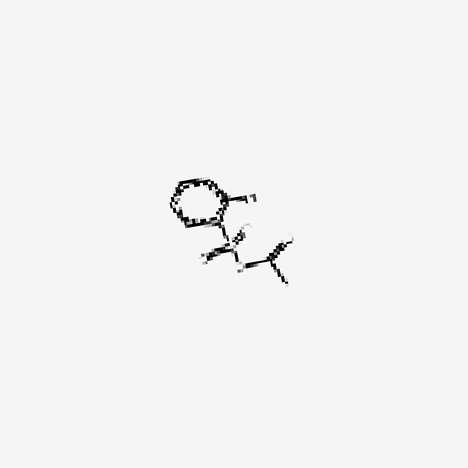 CC(=O)OS(=O)(=O)c1ccccc1Cl